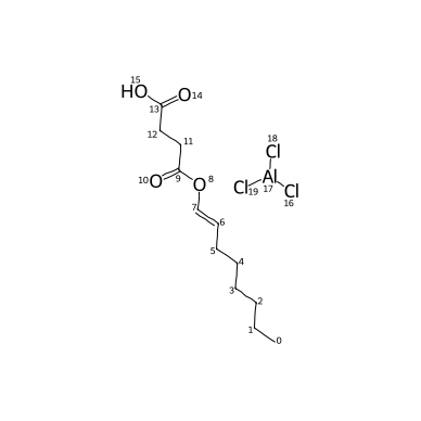 CCCCCCC=COC(=O)CCC(=O)O.[Cl][Al]([Cl])[Cl]